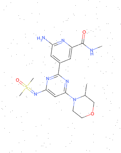 CNC(=O)c1cc(-c2nc(N=S(C)(C)=O)cc(N3CCOCC3C)n2)cc(N)n1